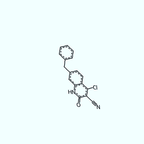 N#Cc1c(Cl)c2ccc(Cc3ccccc3)cc2[nH]c1=O